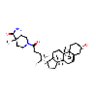 CC(CCC(=O)N1CCC(C)(C(N)=O)CC1)[C@H]1CC[C@H]2[C@@H]3CC=C4C[C@@H](O)CC[C@]4(C)[C@H]3CC[C@]12C